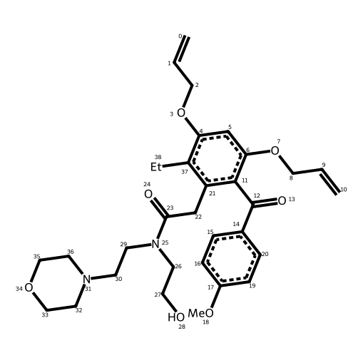 C=CCOc1cc(OCC=C)c(C(=O)c2ccc(OC)cc2)c(CC(=O)N(CCO)CCN2CCOCC2)c1CC